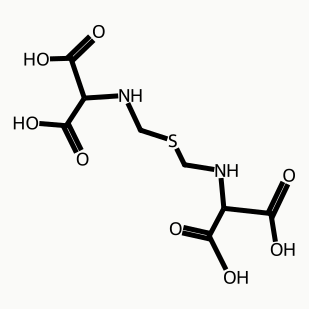 O=C(O)C(NCSCNC(C(=O)O)C(=O)O)C(=O)O